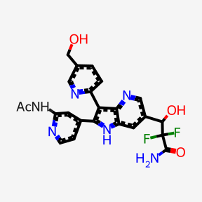 CC(=O)Nc1cc(-c2[nH]c3cc(C(O)C(F)(F)C(N)=O)cnc3c2-c2ccc(CO)cn2)ccn1